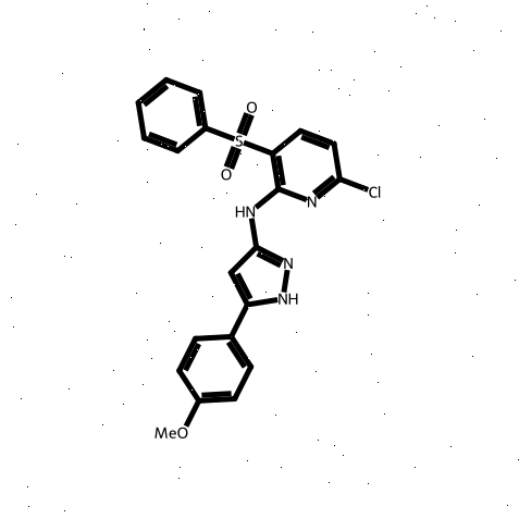 COc1ccc(-c2cc(Nc3nc(Cl)ccc3S(=O)(=O)c3ccccc3)n[nH]2)cc1